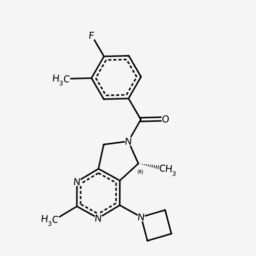 Cc1nc2c(c(N3CCC3)n1)[C@@H](C)N(C(=O)c1ccc(F)c(C)c1)C2